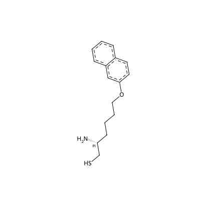 N[C@@H](CS)CCCCOc1ccc2ccccc2c1